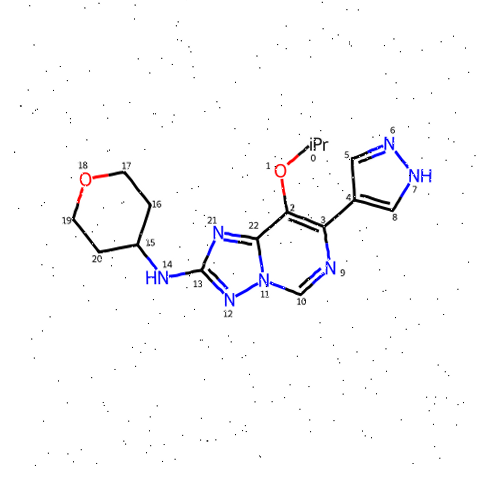 CC(C)Oc1c(-c2cn[nH]c2)ncn2nc(NC3CCOCC3)nc12